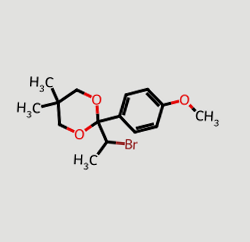 COc1ccc(C2(C(C)Br)OCC(C)(C)CO2)cc1